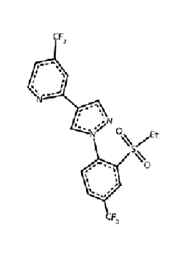 CCS(=O)(=O)c1cc(C(F)(F)F)ccc1-n1cc(-c2cc(C(F)(F)F)ccn2)cn1